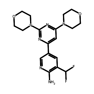 Nc1ncc(-c2cc(N3CCOCC3)nc(N3CCOCC3)n2)cc1C(F)F